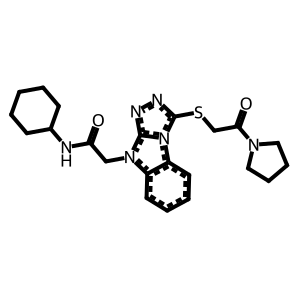 O=C(Cn1c2ccccc2n2c(SCC(=O)N3CCCC3)nnc12)NC1CCCCC1